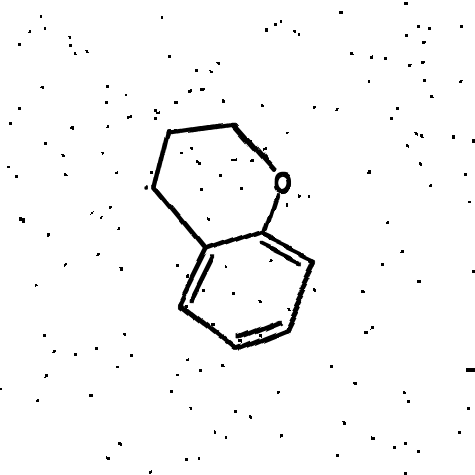 [CH]1CCOc2ccccc21